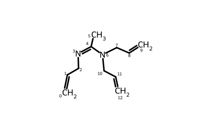 C=CCN=C(C)N(CC=C)CC=C